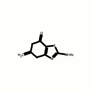 C=C1CC(=O)c2sc(NC(C)=O)nc2C1